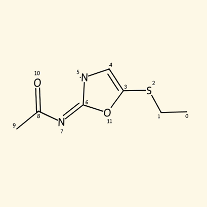 CCSC1=C[N]C(=NC(C)=O)O1